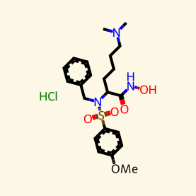 COc1ccc(S(=O)(=O)N(Cc2ccccc2)C(CCCCN(C)C)C(=O)NO)cc1.Cl